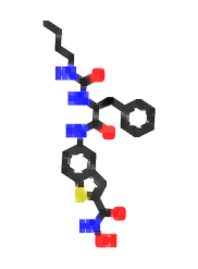 CCCCNC(=O)N[C@@H](Cc1ccccc1)C(=O)Nc1ccc2sc(C(=O)NO)cc2c1